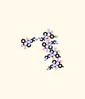 CCc1ccc2c(c1)C(=O)Nc1cccnc1N2C(=O)N1CC2(CCN(C)C2)C1.CN1CCC2(C1)CN(C(=O)N1c3ccccc3C(=O)Nc3cccnc31)C2.CN1CCC2(CCN(C(=O)N3c4ccccc4C(=O)Nc4cccnc43)C2)C1.Cc1ccc2c(c1)C(=O)Nc1cccnc1N2C(=O)N1CCC2(CCN(C)C2)C1.Cc1ccc2c(c1)C(=O)Nc1cccnc1N2C(=O)N1CCC2(CN(C)C2)C1